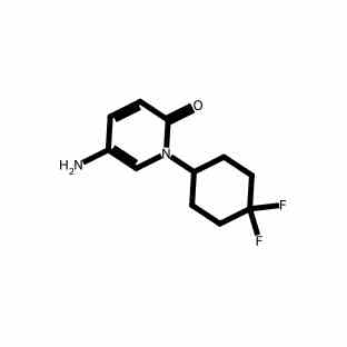 Nc1ccc(=O)n(C2CCC(F)(F)CC2)c1